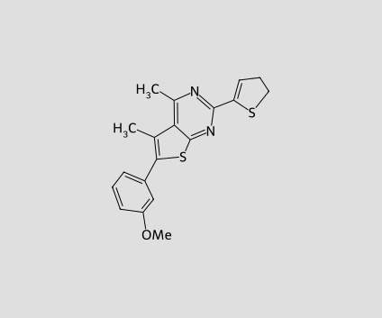 COc1cccc(-c2sc3nc(C4=CCCS4)nc(C)c3c2C)c1